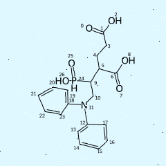 O=C(O)CCC(C(=O)O)C(CN(c1ccccc1)c1ccccc1)[PH](=O)O